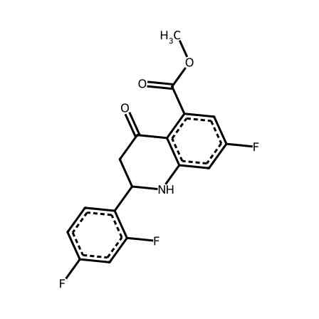 COC(=O)c1cc(F)cc2c1C(=O)CC(c1ccc(F)cc1F)N2